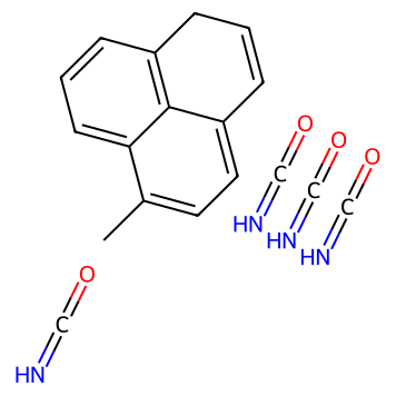 Cc1ccc2c3c(cccc13)CC=C2.N=C=O.N=C=O.N=C=O.N=C=O